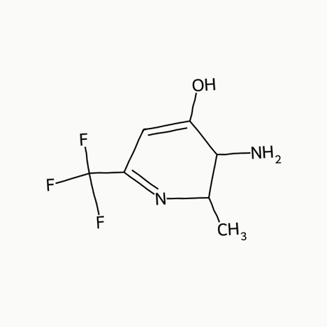 CC1N=C(C(F)(F)F)C=C(O)C1N